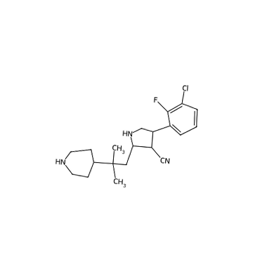 CC(C)(CC1NCC(c2cccc(Cl)c2F)C1C#N)C1CCNCC1